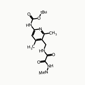 CNNC(=O)C(=O)NCc1c(C)cc(NC(=O)OC(C)(C)C)nc1C